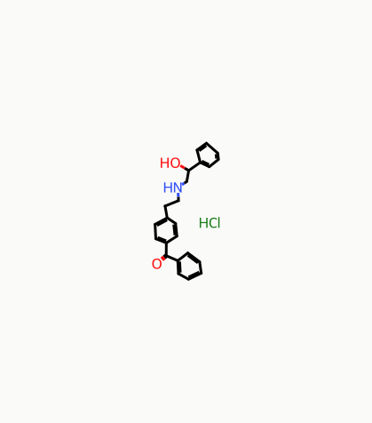 Cl.O=C(c1ccccc1)c1ccc(CCNCC(O)c2ccccc2)cc1